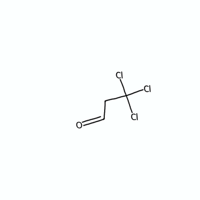 O=CCC(Cl)(Cl)Cl